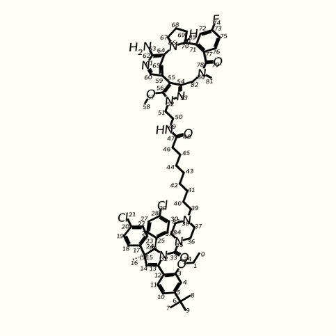 CCOc1cc(C(C)(C)C)ccc1C1=C[C@@](C)(c2ccc(Cl)cc2)[C@@H](c2ccc(Cl)cc2)N1C(=O)N1CCN(CCCCCCCCC(=O)NCCn2nc3c(c2OC)-c2cnc(N)c(c2)N2CCC[C@@H]2c2cc(F)ccc2C(=O)N(C)C3)CC1